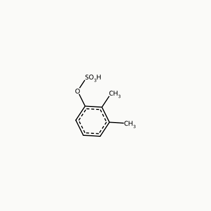 Cc1cccc(OS(=O)(=O)O)c1C